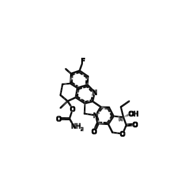 CC[C@@]1(O)C(=O)OCc2c1cc1n(c2=O)Cc2c-1nc1cc(F)c(C)c3c1c2C(C)(OC(N)=O)CC3